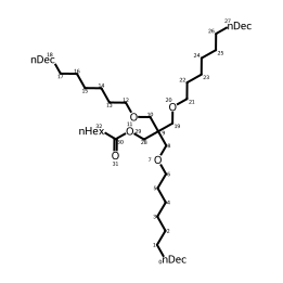 CCCCCCCCCCCCCCCCOCC(COCCCCCCCCCCCCCCCC)(COCCCCCCCCCCCCCCCC)COC(=O)CCCCCC